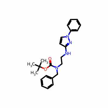 CC(C)(C)OC(=O)N(CCNc1ccn(-c2ccccc2)n1)Cc1ccccc1